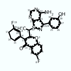 CC(c1oc2ccc(F)cc2c(=O)c1C1=CCCC(F)=C1)n1nc(-c2cccc(O)c2)c2c(N)ncnc21